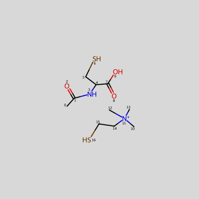 CC(=O)NC(CS)C(=O)O.C[N+](C)(C)CCS